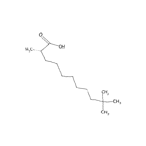 CC(CCCCCCCC(C)(C)C)C(=O)O